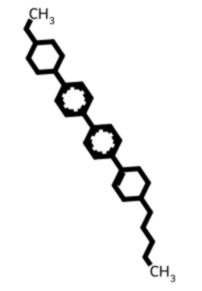 CCCCCC1CC=C(c2ccc(-c3ccc(C4CCC(CC)CC4)cc3)cc2)CC1